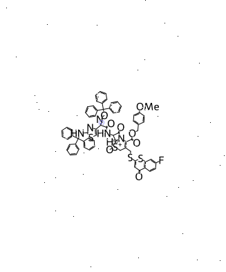 COc1ccc(COC(=O)C2=C(CSc3cc(=O)c4ccc(F)cc4s3)C[S+]([O-])[C@H]3C(NC(=O)/C(=N\OC(c4ccccc4)(c4ccccc4)c4ccccc4)c4csc(NC(c5ccccc5)(c5ccccc5)c5ccccc5)n4)C(=O)N23)cc1